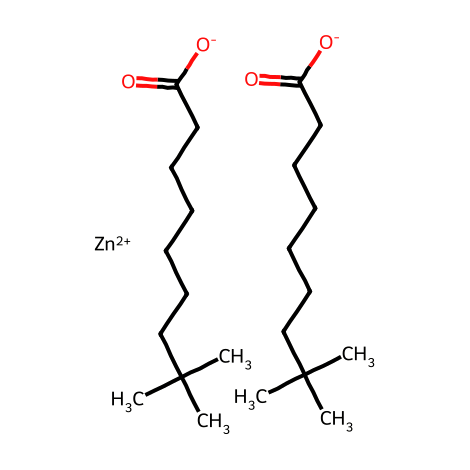 CC(C)(C)CCCCCCC(=O)[O-].CC(C)(C)CCCCCCC(=O)[O-].[Zn+2]